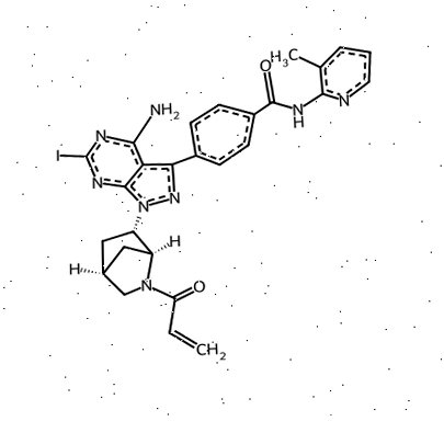 C=CC(=O)N1C[C@@H]2C[C@H]1[C@@H](n1nc(-c3ccc(C(=O)Nc4ncccc4C)cc3)c3c(N)nc(I)nc31)C2